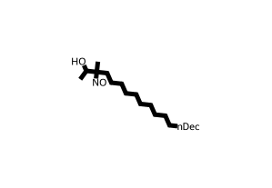 CCCCCCCCCCCCCCCCCCCCC(C)(N=O)C(C)O